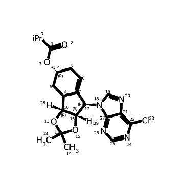 CC(C)C(=O)O[C@@H]1CC=C2C(C1)[C@H]1OC(C)(C)O[C@H]1[C@@H]2n1cnc2c(Cl)ncnc21